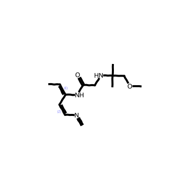 C=N/C=C\C(=C/C)NC(=O)CNC(C)(C)COC